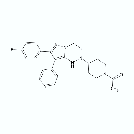 CC(=O)N1CCC(N2CCn3nc(-c4ccc(F)cc4)c(-c4ccncc4)c3N2)CC1